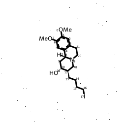 COc1cc2c(cc1OC)[C@H]1C[C@@H](O)[C@H](CCCCI)CN1CC2